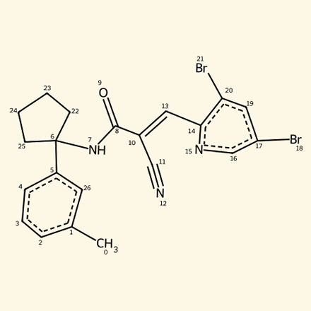 Cc1cccc(C2(NC(=O)C(C#N)=Cc3ncc(Br)cc3Br)CCCC2)c1